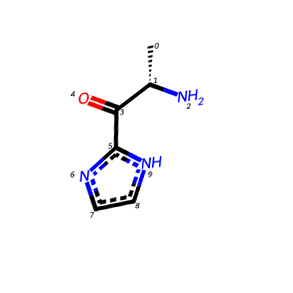 C[C@H](N)C(=O)c1ncc[nH]1